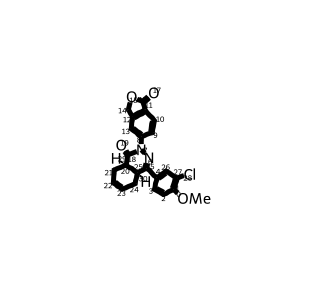 COc1ccc(C2=NN(c3ccc4c(c3)COC4=O)C(=O)[C@@H]3CC=CC[C@H]23)cc1Cl